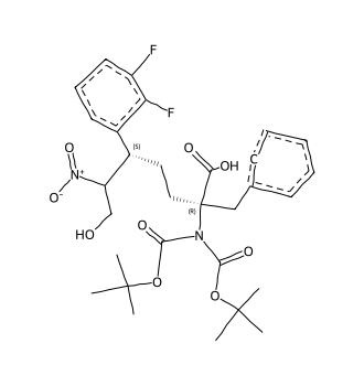 CC(C)(C)OC(=O)N(C(=O)OC(C)(C)C)[C@](CC[C@@H](c1cccc(F)c1F)C(CO)[N+](=O)[O-])(Cc1ccccc1)C(=O)O